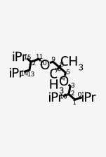 CC(C)CC(COCC(C)(C)COCC(CC(C)C)C(C)C)C(C)C